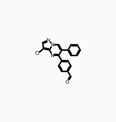 O=Cc1ccc(-c2nc3c(Cl)cnn3cc2-c2ccccc2)cc1